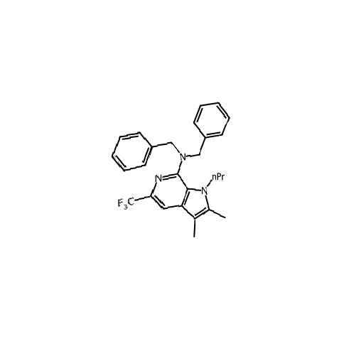 CCCn1c(C)c(C)c2cc(C(F)(F)F)nc(N(Cc3ccccc3)Cc3ccccc3)c21